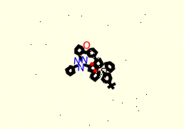 CC(C)(C)c1ccc([Si](c2ccccc2)(c2ccccc2)c2ccc(-c3ccc4oc5cccc(-c6nc(-c7ccccc7)nc(-c7ccccc7)n6)c5c4c3)cc2)cc1